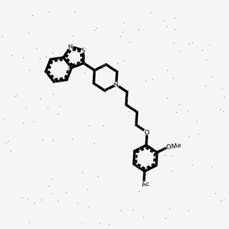 COc1cc(C(C)=O)ccc1OCCCCN1CCC(c2snc3ccccc23)CC1